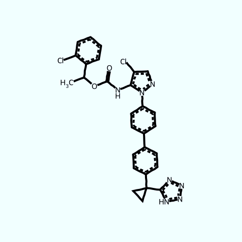 CC(OC(=O)Nc1c(Cl)cnn1-c1ccc(-c2ccc(C3(c4nnn[nH]4)CC3)cc2)cc1)c1ccccc1Cl